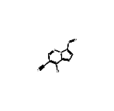 N#Cc1cnn2c(N=O)ccc2c1Cl